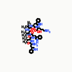 CC(C)[C@H](NC(=O)[C@H](Cc1c[nH]c2ccccc12)NC(=O)[C@@H](NC(=O)[C@@H](N)Cc1c[nH]c2ccccc12)C(C)C)C(=O)N[C@H](C(=O)N[C@@H](Cc1c[nH]c2ccccc12)C(=O)N[C@@H](CCCCN)C(=O)O)C(C)C